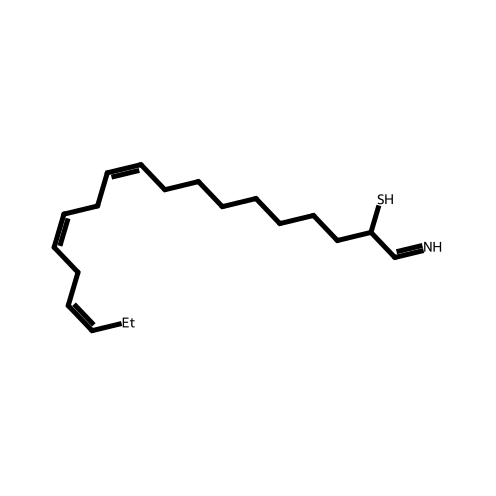 CC/C=C\C/C=C\C/C=C\CCCCCCCC(S)C=N